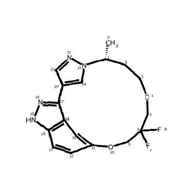 C[C@@H]1CCOCC(F)(F)COc2ccc3[nH]nc(c3c2)-c2cnn1c2